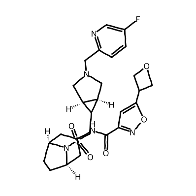 O=C(NC1C[C@H]2CC[C@@H](C1)N2S(=O)(=O)CC1[C@H]2CN(Cc3ccc(F)cn3)C[C@@H]12)c1cc(C2COC2)on1